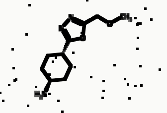 COCc1nnc([C@H]2CC[C@H](N)CC2)o1